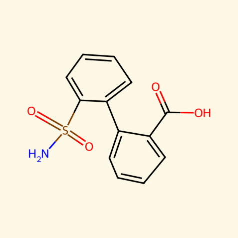 NS(=O)(=O)c1ccccc1-c1ccccc1C(=O)O